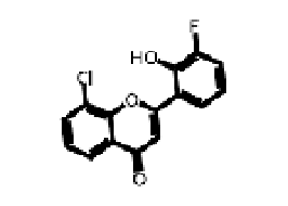 O=c1cc(-c2cccc(F)c2O)oc2c(Cl)cccc12